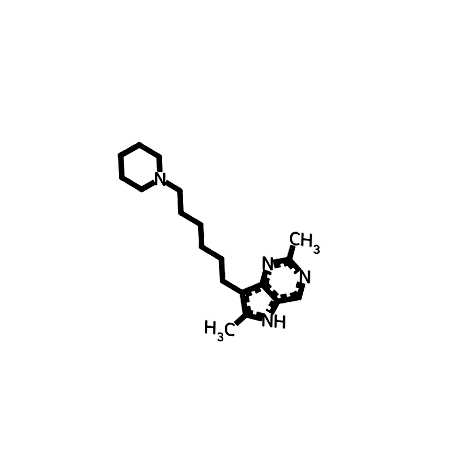 Cc1ncc2[nH]c(C)c(CCCCCCN3CCCCC3)c2n1